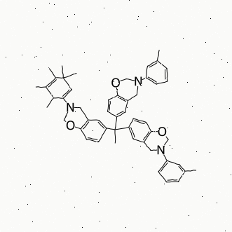 CC1=C(C)C(C)(C)C=C(N2COc3ccc(C(C)(c4ccc5c(c4)CN(c4cccc(C)c4)CO5)c4ccc5c(c4)CN(c4cccc(C)c4)CO5)cc3C2)C1C